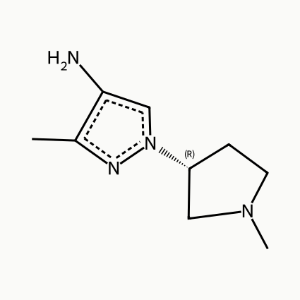 Cc1nn([C@@H]2CCN(C)C2)cc1N